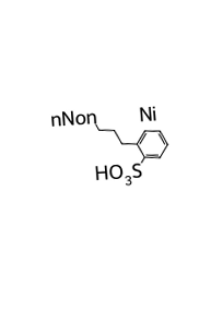 CCCCCCCCCCCCc1ccccc1S(=O)(=O)O.[Ni]